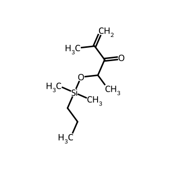 C=C(C)C(=O)C(C)O[Si](C)(C)CCC